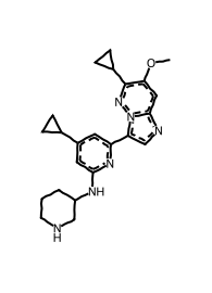 COc1cc2ncc(-c3cc(C4CC4)cc(NC4CCCNC4)n3)n2nc1C1CC1